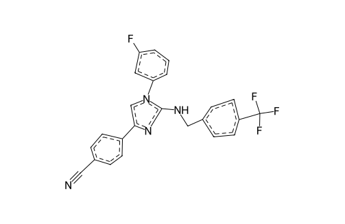 N#Cc1ccc(-c2cn(-c3cccc(F)c3)c(NCc3ccc(C(F)(F)F)cc3)n2)cc1